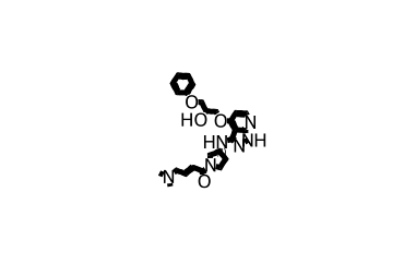 CN(C)CC=CC(=O)N1CC[C@@H](Nc2n[nH]c3nccc(OCC(O)COc4ccccc4)c23)C1